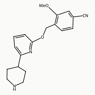 COc1cc(C#N)ccc1COc1cccc(C2CCNCC2)n1